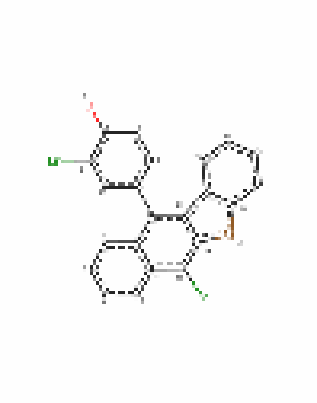 Oc1ccc(-c2c3ccccc3c(Br)c3sc4ccccc4c23)cc1Br